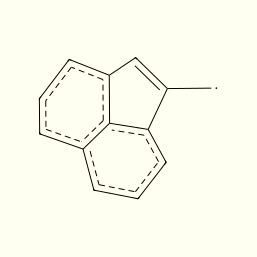 [CH2]C1=Cc2cccc3cccc1c23